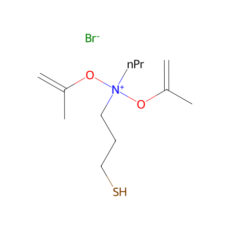 C=C(C)O[N+](CCC)(CCCS)OC(=C)C.[Br-]